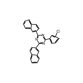 Clc1cccc(-c2nc(-c3ccc4ccccc4c3)nc(-c3ccc4ccccc4c3)n2)c1